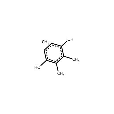 C.Cc1c(O)ccc(O)c1C